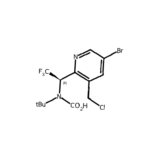 CC(C)(C)N(C(=O)O)[C@H](c1ncc(Br)cc1CCl)C(F)(F)F